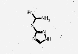 CC(C)C(N)Sc1nc[nH]n1